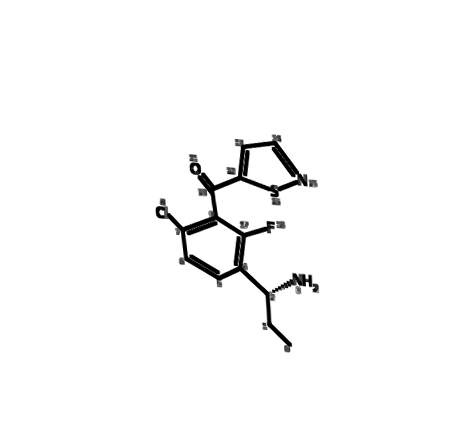 CC[C@@H](N)c1ccc(Cl)c(C(=O)c2ccns2)c1F